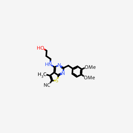 COc1ccc(Cc2nc(NCCCO)c3c(C)c(C#N)sc3n2)cc1OC